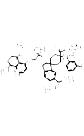 COC(=O)C1(Nc2cccc(Cl)c2)CCC2(CC1)c1cc([C@@H](C)O)ccc1C[C@@H]2C[C@@H](C)COc1ccnc2c1[C@H](C)CC[C@H]2O